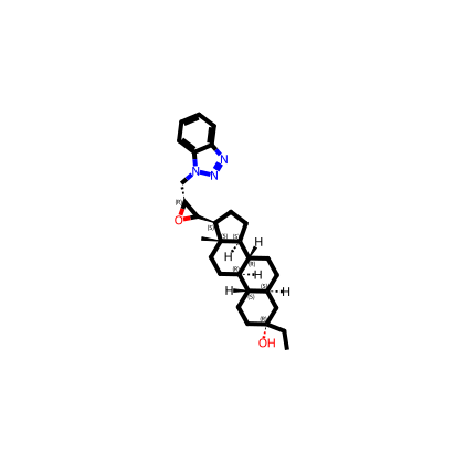 CC[C@@]1(O)CC[C@H]2[C@@H](CC[C@@H]3[C@@H]2CC[C@]2(C)[C@@H](C4O[C@@H]4Cn4nnc5ccccc54)CC[C@@H]32)C1